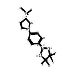 CN(C)[C@H]1CCN(c2ccc(B3OC(C)(C)C(C)(C)O3)cc2)C1